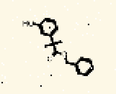 CC(C)(C(=O)OCc1ccccc1)c1cccc(O)c1